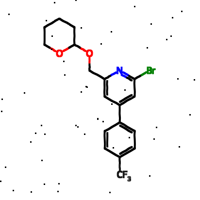 FC(F)(F)c1ccc(-c2cc(Br)nc(COC3CCCCO3)c2)cc1